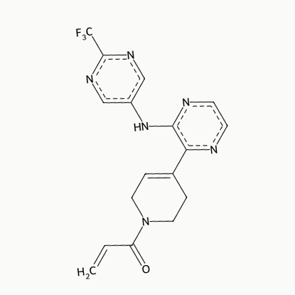 C=CC(=O)N1CC=C(c2nccnc2Nc2cnc(C(F)(F)F)nc2)CC1